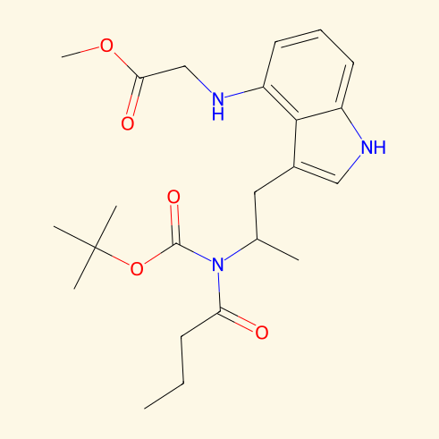 CCCC(=O)N(C(=O)OC(C)(C)C)C(C)Cc1c[nH]c2cccc(NCC(=O)OC)c12